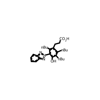 CCCCc1c(O)c(-n2nc3ccccc3n2)c(CCCC)c(CCC(=O)O)c1CCCC